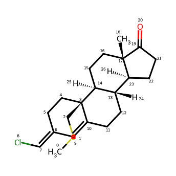 CSC[C@]12CCC(=CCl)C=C1CC[C@@H]1[C@@H]2CC[C@]2(C)C(=O)CC[C@@H]12